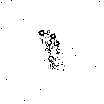 CCOC(=O)COC1CCN(c2cccc(OC(=O)c3ccccc3OC(C)=O)c2CCC(=O)NC(=O)COC2CCN(C(=O)OC(C)(C)C)CC2)CC1